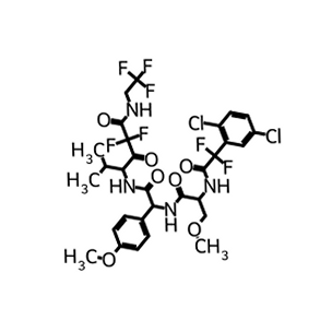 COCC(NC(=O)C(F)(F)c1cc(Cl)ccc1Cl)C(=O)NC(C(=O)NC(C(=O)C(F)(F)C(=O)NCC(F)(F)F)C(C)C)c1ccc(OC)cc1